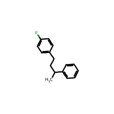 CC(C[CH]c1ccc(F)cc1)c1ccccc1